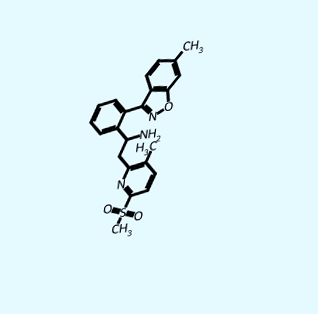 Cc1ccc2c(-c3ccccc3C(N)Cc3nc(S(C)(=O)=O)ccc3C)noc2c1